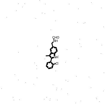 Cc1c(-c2ccccc2Cl)[nH]c2ccc(CNC=O)cc12